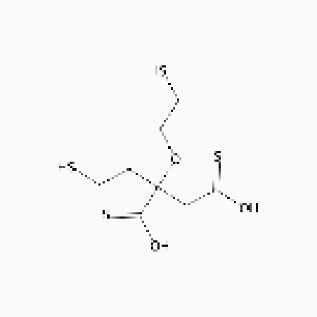 OC(=S)CC(CCS)(OCCS)C(O)=S